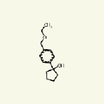 CCOCc1ccc(C2(O)CCCC2)cc1